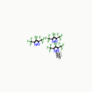 FC(F)(F)c1n[n-]c(C(F)(F)F)c1Br.FC(F)(F)c1n[n-]c(C(F)(F)F)c1Br.FC(F)(F)c1n[n-]c(C(F)(F)F)c1Br.[Ag+].[Ag+].[Ag+]